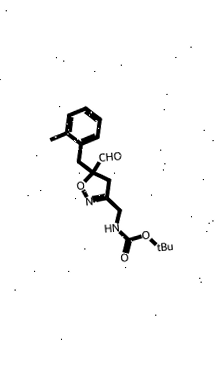 Cc1ccccc1CC1(C=O)CC(CNC(=O)OC(C)(C)C)=NO1